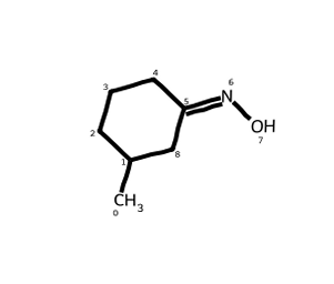 CC1CCCC(=NO)C1